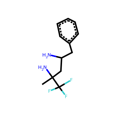 CC(N)(CC(N)Cc1ccccc1)C(F)(F)F